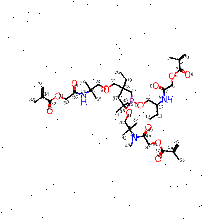 C=C(C)C(=O)OCC(=O)NC(CC)COP(C)CC(CC)(COCC(C)(C)NC(=O)COC(=O)C(=C)C)CC(C)(C)OCC(C)(C)N(C)C(=O)COC(=O)C(=C)C